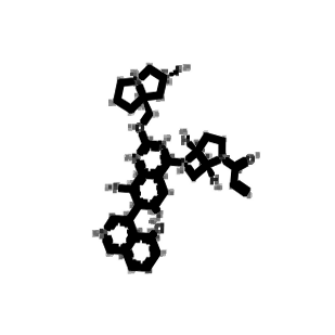 C=CC(=O)N1CC[C@@H]2[C@H]1CN2c1nc(OC[C@@]23CCCN2C[C@H](F)C3)nc2c(F)c(-c3cncc4cccc(Cl)c34)c(F)cc12